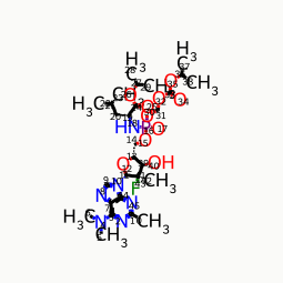 Cc1nc(N(C)C)c2ncn([C@@H]3O[C@H](COP(=O)(N[C@@H](CC(C)C)C(=O)OC(C)C)OCOC(=O)OC(C)C)[C@@H](O)[C@@]3(C)F)c2n1